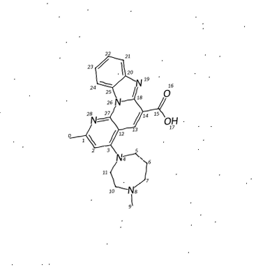 Cc1cc(N2CCCN(C)CC2)c2cc(C(=O)O)c3nc4ccccc4n3c2n1